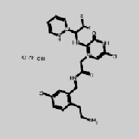 Cl.NCCc1ccc(Cl)cc1CNC(=O)C[n+]1cc(Cl)[nH]c(=O)c1NC([c+]1cccc[nH]1)C(F)F.[Cl-].[Cl-]